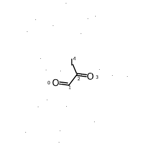 O=CC(=O)I